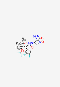 C[C@@H]1[C@H](c2ccc(F)c(F)c2OC(F)F)[C@@H](C(=O)Nc2cc[n+]([O-])c(C(N)=O)c2)O[C@]1(C)C(F)(F)F